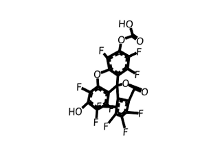 O=C(O)Oc1c(F)c(F)c2c(c1F)Oc1c(F)c(O)c(F)c(F)c1C21OC(=O)c2c(F)c(F)c(F)c(F)c21